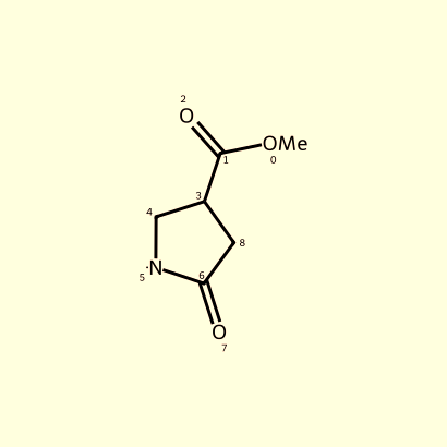 COC(=O)C1C[N]C(=O)C1